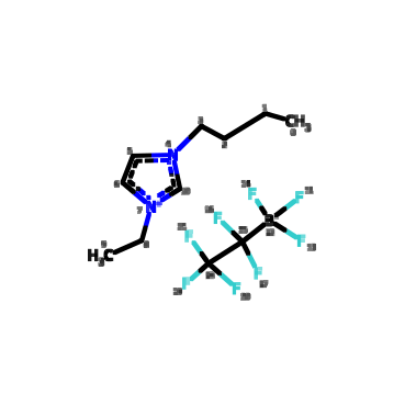 CCCCn1cc[n+](CC)c1.F[B-](F)(F)C(F)(F)C(F)(F)F